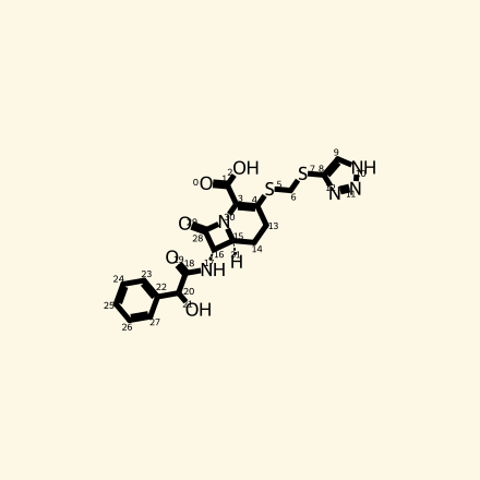 O=C(O)C1=C(SCSc2c[nH]nn2)CC[C@H]2[C@H](NC(=O)C(O)c3ccccc3)C(=O)N12